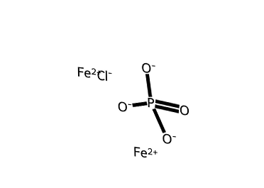 O=P([O-])([O-])[O-].[Cl-].[Fe+2].[Fe+2]